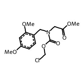 COC(=O)CN(Cc1ccc(OC)cc1OC)C(=O)OCCl